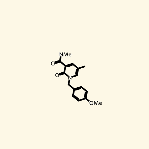 CNC(=O)c1cc(C)cn(Cc2ccc(OC)cc2)c1=O